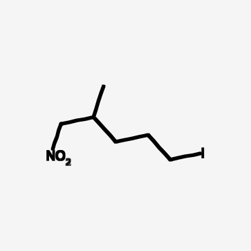 CC(CCCI)C[N+](=O)[O-]